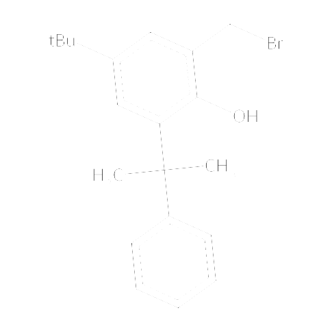 CC(C)(C)c1cc(CBr)c(O)c(C(C)(C)c2ccccc2)c1